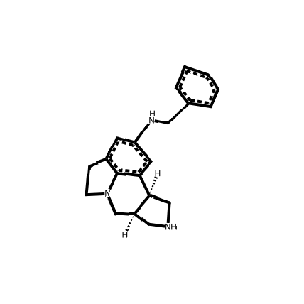 c1ccc(CNc2cc3c4c(c2)[C@H]2CNC[C@H]2CN4CC3)cc1